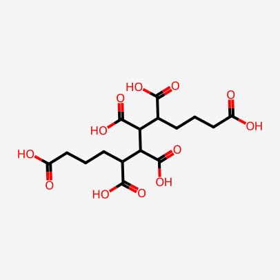 O=C(O)CCCC(C(=O)O)C(C(=O)O)C(C(=O)O)C(CCCC(=O)O)C(=O)O